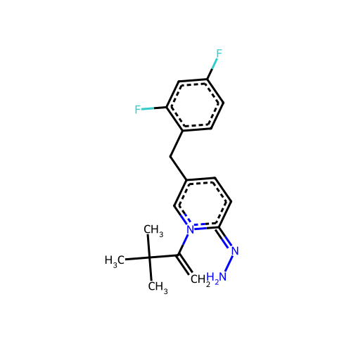 C=C(n1cc(Cc2ccc(F)cc2F)cc/c1=N/N)C(C)(C)C